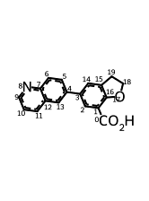 O=C(O)c1cc(-c2ccc3ncccc3c2)cc2c1OCC2